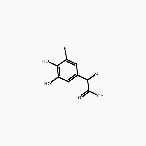 [O]C(C(=O)O)c1cc(O)c(O)c(F)c1